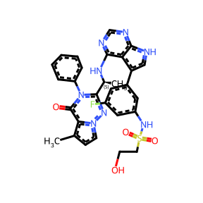 Cc1ccn2nc([C@H](C)Nc3ncnc4[nH]cc(-c5cc(F)cc(NS(=O)(=O)CCO)c5)c34)n(-c3ccccc3)c(=O)c12